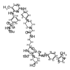 Cc1cnc(Nc2ccc(N3CCN(CC(=O)NCCCC(=O)N[C@H](C(=O)N4C[C@H](O)C[C@H]4C(=O)NCc4ccc(-c5scnc5C)cc4)C(C)(C)C)CC3)cc2)nc1Nc1cccc(S(=O)(=O)NC(C)(C)C)c1